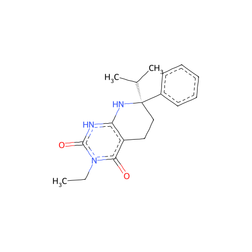 CCn1c(=O)[nH]c2c(c1=O)CC[C@@](c1ccccc1)(C(C)C)N2